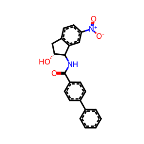 O=C(NC1c2cc([N+](=O)[O-])ccc2C[C@H]1O)c1ccc(-c2ccccc2)cc1